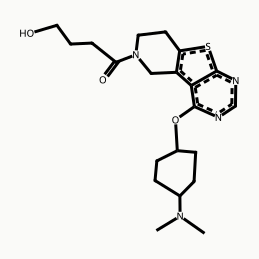 CN(C)C1CCC(Oc2ncnc3sc4c(c23)CN(C(=O)CCCO)CC4)CC1